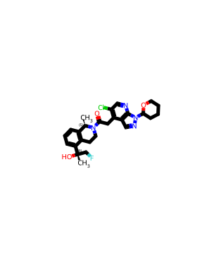 C[C@H]1c2cccc([C@@](C)(O)CF)c2CCN1C(=O)Cc1c(Cl)cnc2c1cnn2C1CCCCO1